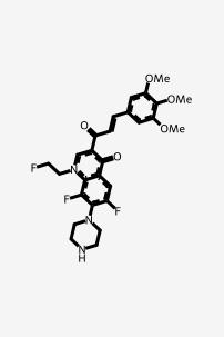 COc1cc(C=CC(=O)c2cn(CCF)c3c(F)c(N4CCNCC4)c(F)cc3c2=O)cc(OC)c1OC